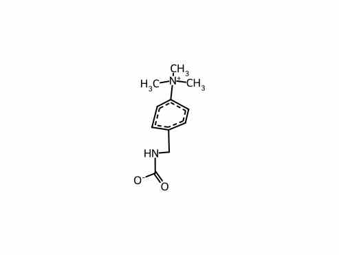 C[N+](C)(C)c1ccc(CNC(=O)[O-])cc1